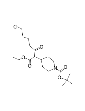 CCOC(=O)C(C(=O)CCCCCl)C1CCN(C(=O)OC(C)(C)C)CC1